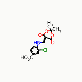 CC1(C)OC(=O)C(=CNc2ccc(C(=O)O)cc2Cl)C(=O)O1